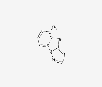 Cc1cccc2c1[nH]c1ccnn12